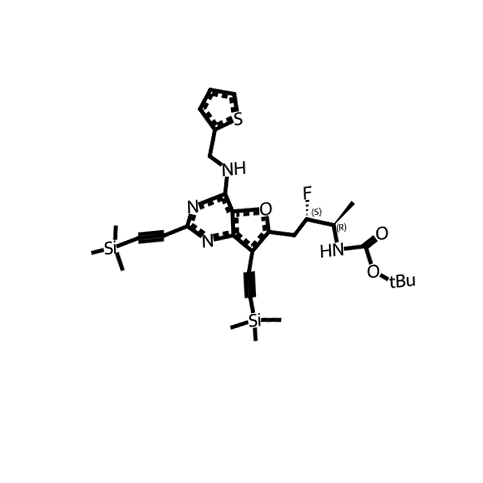 C[C@@H](NC(=O)OC(C)(C)C)[C@@H](F)Cc1oc2c(NCc3cccs3)nc(C#C[Si](C)(C)C)nc2c1C#C[Si](C)(C)C